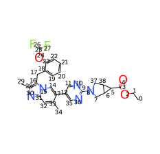 CCOC(=O)C1C2CN(c3ncc(-c4cn5c(Cc6ccccc6OC(F)F)c(C)nc5cc4C)cn3)CC21